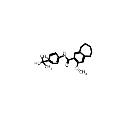 COc1cc2c(cc1C(=O)Nc1ccc(C(C)(C)O)cc1)CCCCC2